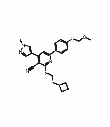 COCOc1ccc(-c2cc(-c3cnn(C)c3)c(C#N)c(SCSC3CCC3)n2)cc1